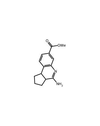 COC(=O)c1ccc2c(c1)N=C(N)C1CCCC21